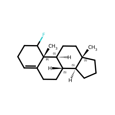 C[C@@]12CCC[C@H]1[C@@H]1CCC3=CCCC(F)[C@]3(C)[C@H]1CC2